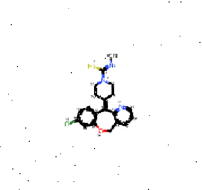 N#C/N=C(\S)N1CCC(=C2c3ccc(Cl)cc3OCc3cccnc32)CC1